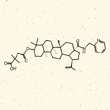 C=C(C)[C@@H]1CC[C@]2(C(=O)NCc3ccccn3)CC[C@]3(C)C(CCC4[C@@]5(C)CCC(OC(=O)CC(C)(C)C(=O)O)C(C)(C)C5CC[C@]43C)C12